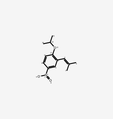 CC(C)=Cc1cc([N+](=O)[O-])ccc1OC(C)C